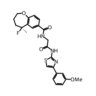 COc1cccc(-c2csc(NC(=O)CNC(=O)c3ccc4c(c3)[C@@](C)(F)CCCO4)n2)c1